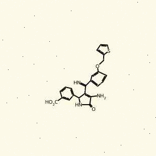 N=C(C1=C(N)C(=O)NC1c1cccc(C(=O)O)c1)c1cccc(OCc2cccs2)c1